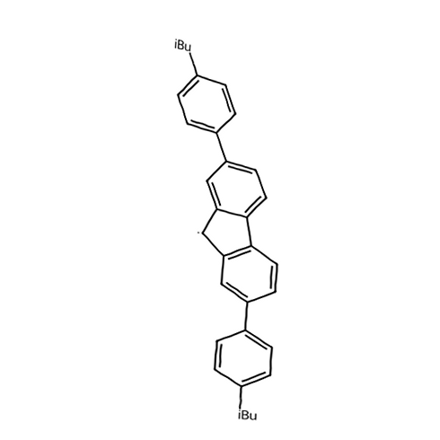 CCC(C)c1ccc(-c2ccc3c(c2)[CH]c2cc(-c4ccc(C(C)CC)cc4)ccc2-3)cc1